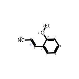 CCOc1ccccc1/C=C/C#N